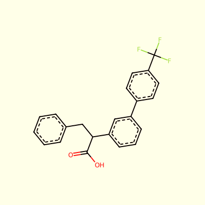 O=C(O)C(Cc1ccccc1)c1cccc(-c2ccc(C(F)(F)F)cc2)c1